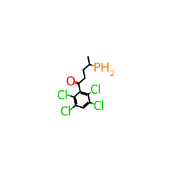 CC(P)CCC(=O)c1c(Cl)c(Cl)cc(Cl)c1Cl